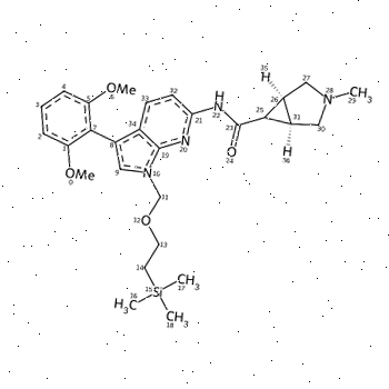 COc1cccc(OC)c1-c1cn(COCC[Si](C)(C)C)c2nc(NC(=O)C3[C@H]4CN(C)C[C@@H]34)ccc12